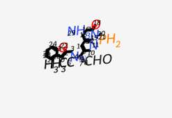 Cc1c(CN(C)/C(=C/C=O)c2cnc3c(c2)CCC(=O)N3CP)oc2ccccc12.N